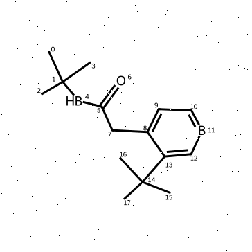 CC(C)(C)BC(=O)Cc1ccbcc1C(C)(C)C